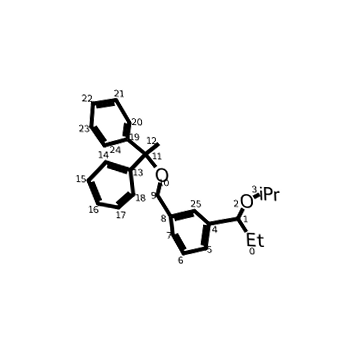 CCC(OC(C)C)c1cccc(COC(C)(c2ccccc2)c2ccccc2)c1